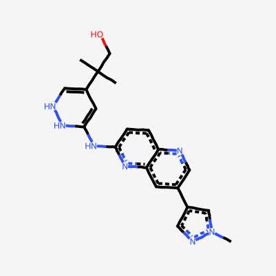 Cn1cc(-c2cnc3ccc(NC4=CC(C(C)(C)CO)=CNN4)nc3c2)cn1